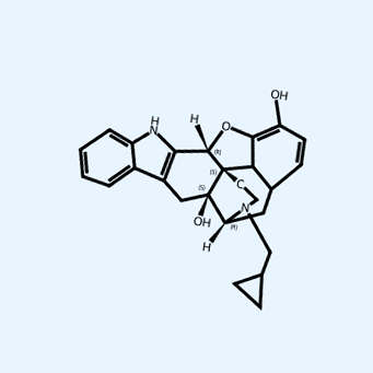 OC1=C2O[C@H]3c4[nH]c5ccccc5c4C[C@@]4(O)[C@H]5CC(C=C1)C2[C@@]34CCN5CC1CC1